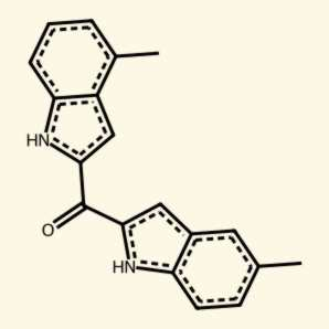 Cc1ccc2[nH]c(C(=O)c3cc4c(C)cccc4[nH]3)cc2c1